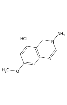 COc1ccc2c(c1)N=CN(N)C2.Cl